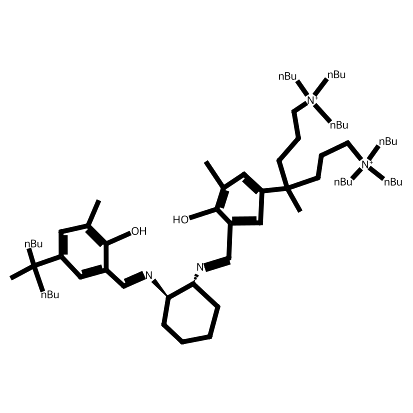 CCCCC(C)(CCCC)c1cc(C)c(O)c(/C=N/[C@@H]2CCCC[C@H]2/N=C/c2cc(C(C)(CCC[N+](CCCC)(CCCC)CCCC)CCC[N+](CCCC)(CCCC)CCCC)cc(C)c2O)c1